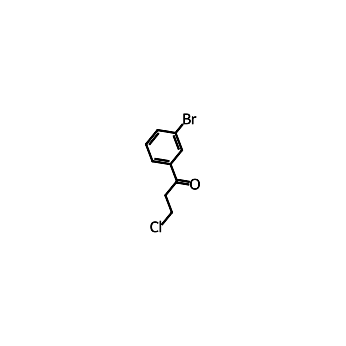 O=C(CCCl)c1cccc(Br)c1